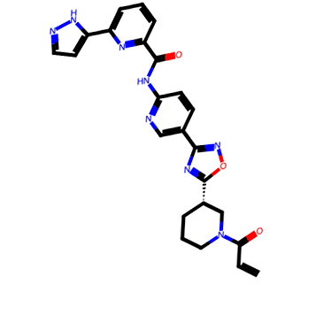 C=CC(=O)N1CCC[C@H](c2nc(-c3ccc(NC(=O)c4cccc(-c5ccn[nH]5)n4)nc3)no2)C1